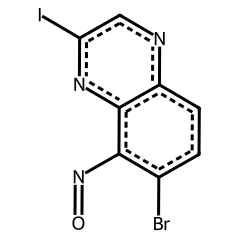 O=Nc1c(Br)ccc2ncc(I)nc12